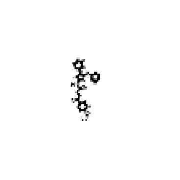 CCOc1ccc(C(=O)CCC(=O)Nc2cc(-c3ccccc3)c(Cc3ccccc3)s2)cc1